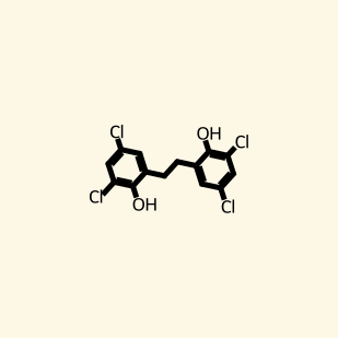 Oc1c(Cl)cc(Cl)cc1CCc1cc(Cl)cc(Cl)c1O